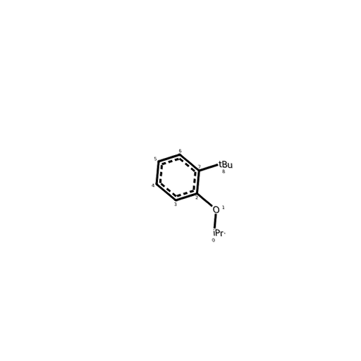 C[C](C)Oc1ccccc1C(C)(C)C